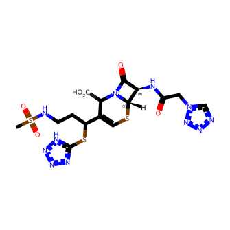 CS(=O)(=O)NCCC(Sc1nnn[nH]1)C1=CS[C@H]2[C@H](NC(=O)Cn3cnnn3)C(=O)N2C1C(=O)O